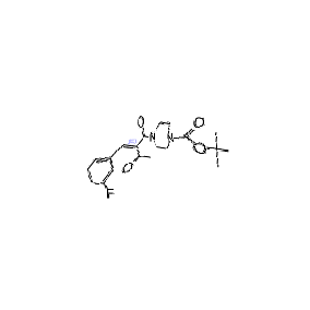 CC(=O)/C(=C\c1cccc(F)c1)C(=O)N1CCN(C(=O)OC(C)(C)C)CC1